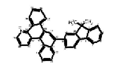 CC1(C)c2ccccc2-c2ccc(-c3cc4c5ccccc5c5ncccc5c4c4ccccc34)cc21